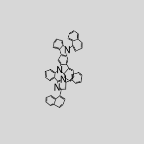 c1ccc(-c2cc(-c3cccc4ccccc34)nc(-c3ccccc3-n3c4ccccc4c4cc5c(cc43)c3ccccc3n5-c3cccc4ccccc34)n2)cc1